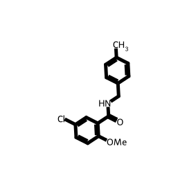 COc1ccc(Cl)cc1C(=O)NCc1ccc(C)cc1